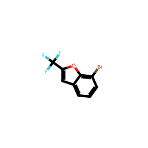 FC(F)(F)c1cc2cccc(Br)c2o1